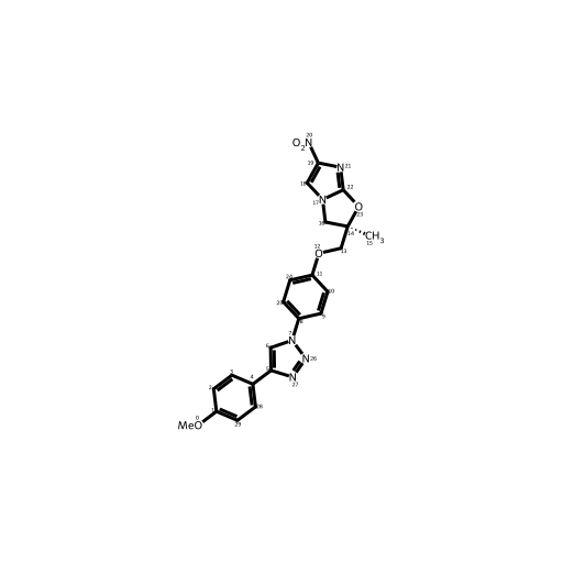 COc1ccc(-c2cn(-c3ccc(OC[C@@]4(C)Cn5cc([N+](=O)[O-])nc5O4)cc3)nn2)cc1